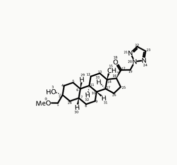 COC[C@@]1(O)CC[C@H]2[C@H](CC[C@@H]3[C@@H]2CC[C@]2(C)[C@@H](C(=O)Cn4nccn4)CC[C@@H]32)C1